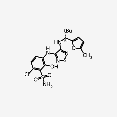 Cc1ccc([C@H](Nc2nsnc2Nc2ccc(Cl)c(S(N)(=O)=O)c2O)C(C)(C)C)o1